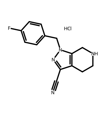 Cl.N#Cc1nn(Cc2ccc(F)cc2)c2c1CCNC2